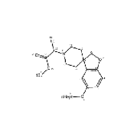 CCCCCCCOc1ccc2c(c1)C1(CCN(C(CC)C(=O)OC(C)(C)C)CC1)CO2